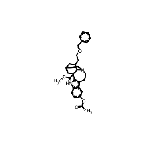 COC(=O)C12CC3CC(CCOCc4ccccc4)C1N(CCc1c2[nH]c2ccc(OC(C)=O)cc12)C3